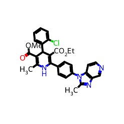 CCOC(=O)C1=C(c2ccc(-n3c(C)nc4cnccc43)cc2)NC(C)=C(C(=O)OC)C1c1ccccc1Cl